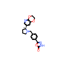 O=c1[nH]nc(-c2ccc(CN3CCC[C@H]3c3cnc4c(c3)OCCO4)cc2)o1